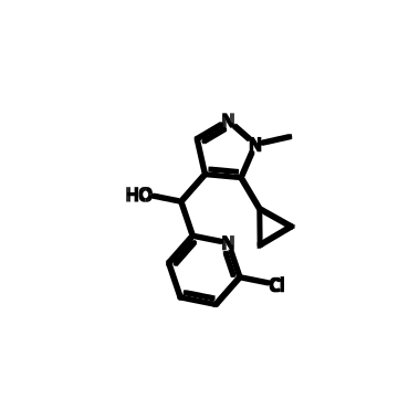 Cn1ncc(C(O)c2cccc(Cl)n2)c1C1CC1